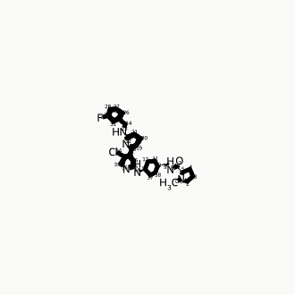 CN1CCC[C@H]1C(=O)NC[C@H]1CC[C@H](Nc2cc(-c3cccc(NCc4cccc(F)c4)n3)c(Cl)cn2)CC1